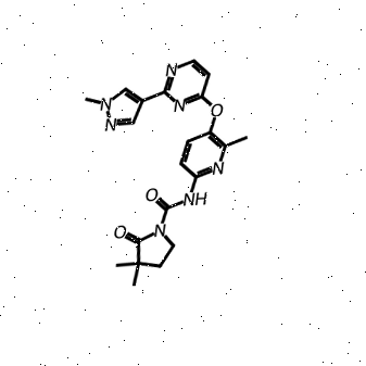 Cc1nc(NC(=O)N2CCC(C)(C)C2=O)ccc1Oc1ccnc(-c2cnn(C)c2)n1